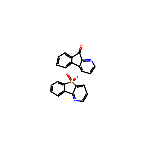 O=C1c2ccccc2-c2cccnc21.O=S1(=O)c2ccccc2-c2ncccc21